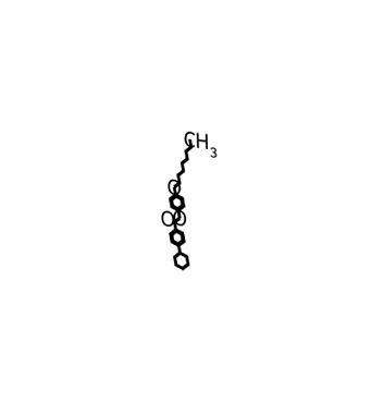 CCCCCCCCOc1ccc(OC(=O)c2ccc(C3CCCCC3)cc2)cc1